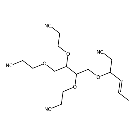 C/C=C/C(CC#N)OCC(OCCC#N)C(COCCC#N)OCCC#N